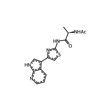 CC(=O)N[C@H](C)C(=O)Nc1nc(-c2c[nH]c3ncccc23)cs1